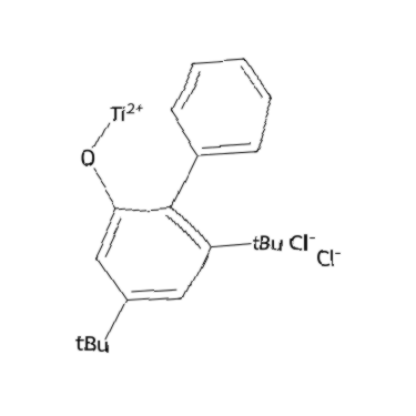 CC(C)(C)c1cc([O][Ti+2])c(-c2ccccc2)c(C(C)(C)C)c1.[Cl-].[Cl-]